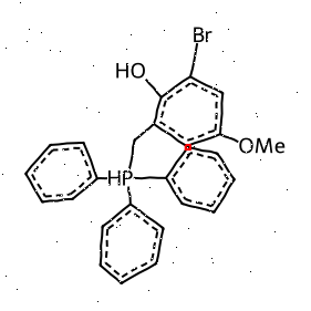 COc1cc(Br)c(O)c(C[PH](c2ccccc2)(c2ccccc2)c2ccccc2)c1